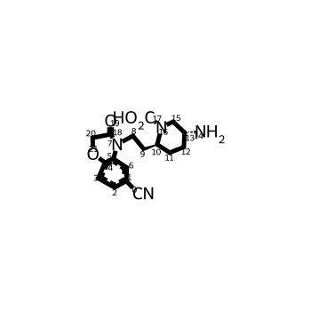 N#Cc1ccc2c(c1)N(CC[C@@H]1CC[C@@H](N)CN1C(=O)O)C(=O)CO2